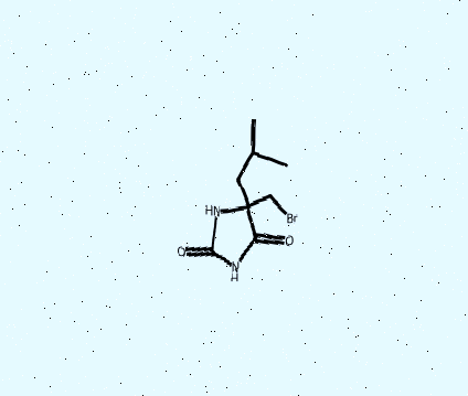 CC(C)CC1(CBr)NC(=O)NC1=O